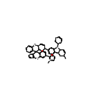 CC1C=CC2C(C1)c1ccc(C3C=CC4OC5=CCCC=C5C5(C6=C(C=CCC6)Oc6cc(-c7cccn7C)ccc65)C4C3)cc1N2C1CC=CCC1